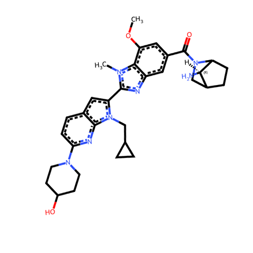 COc1cc(C(=O)N2CC3CCC2[C@@H]3N)cc2nc(-c3cc4ccc(N5CCC(O)CC5)nc4n3CC3CC3)n(C)c12